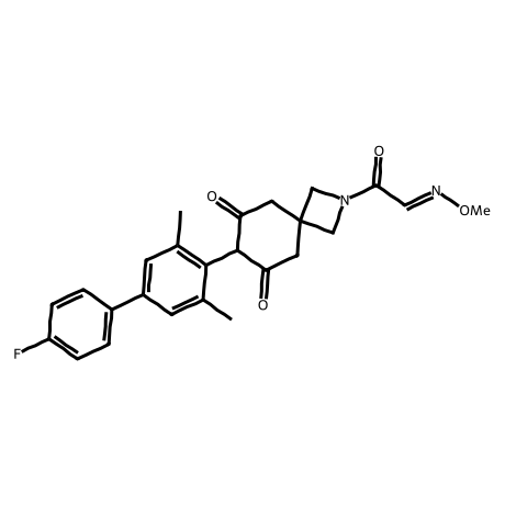 CO/N=C/C(=O)N1CC2(CC(=O)C(c3c(C)cc(-c4ccc(F)cc4)cc3C)C(=O)C2)C1